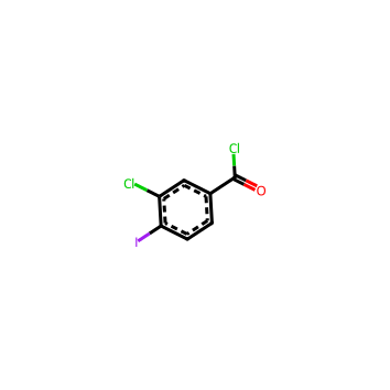 O=C(Cl)c1ccc(I)c(Cl)c1